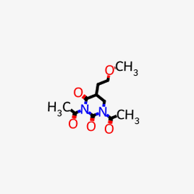 COCCC1CN(C(C)=O)C(=O)N(C(C)=O)C1=O